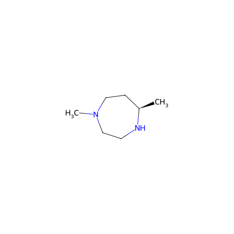 C[C@@H]1CCN(C)CCN1